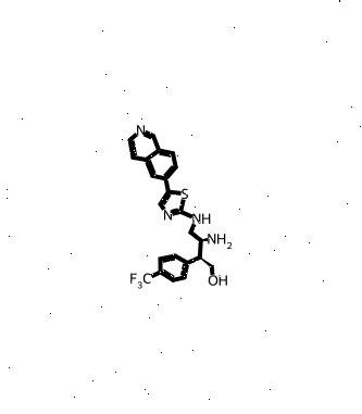 N[C@H](CNc1ncc(-c2ccc3cnccc3c2)s1)[C@@H](CO)c1ccc(C(F)(F)F)cc1